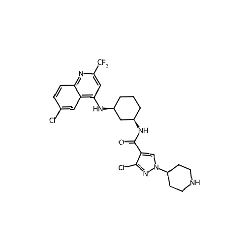 O=C(N[C@@H]1CCC[C@H](Nc2cc(C(F)(F)F)nc3ccc(Cl)cc23)C1)c1cn(C2CCNCC2)nc1Cl